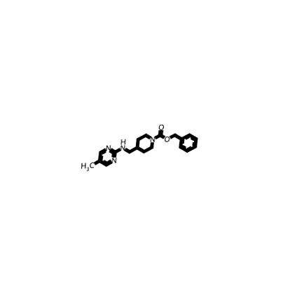 Cc1cnc(NCC2CCN(C(=O)OCc3ccccc3)CC2)nc1